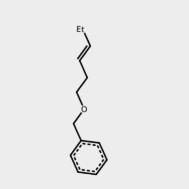 CCC=CCCOCc1ccccc1